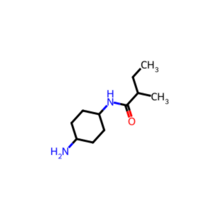 CCC(C)C(=O)NC1CCC(N)CC1